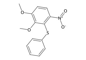 COc1ccc([N+](=O)[O-])c(Sc2ccccc2)c1OC